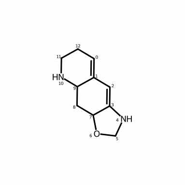 C1=C2C=C3NCOC3CC2NCC1